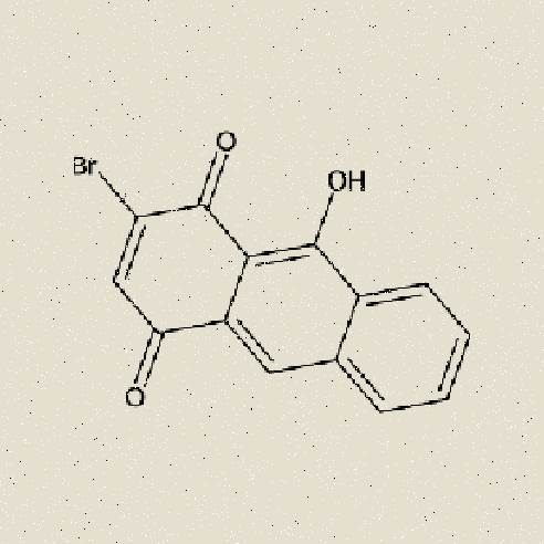 O=C1C=C(Br)C(=O)c2c1cc1ccccc1c2O